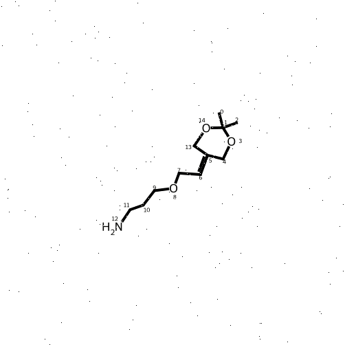 CC1(C)OCC(=CCOCCCN)CO1